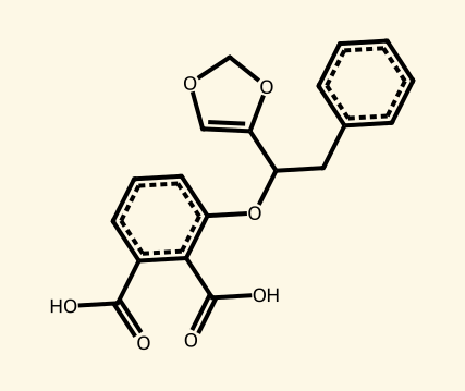 O=C(O)c1cccc(OC(Cc2ccccc2)C2=COCO2)c1C(=O)O